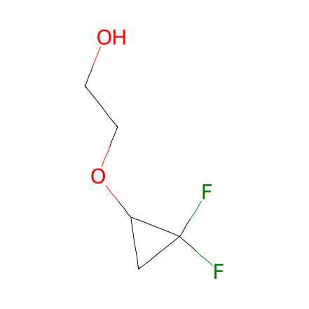 OCCOC1CC1(F)F